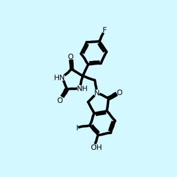 O=C1NC(=O)C(CN2Cc3c(ccc(O)c3I)C2=O)(c2ccc(F)cc2)N1